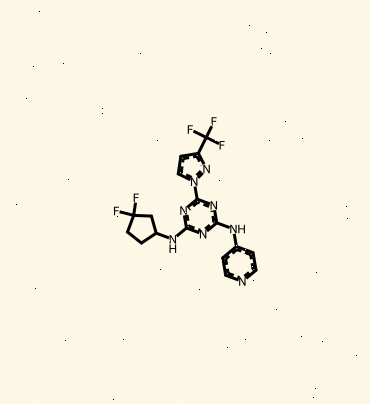 FC1(F)CCC(Nc2nc(Nc3ccncc3)nc(-n3ccc(C(F)(F)F)n3)n2)C1